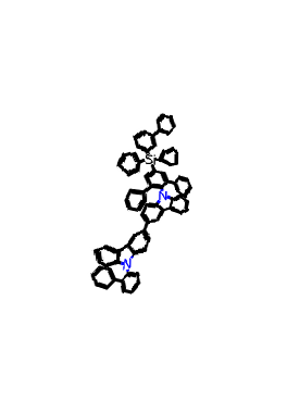 c1ccc(-c2cccc([Si](c3ccccc3)(c3ccccc3)c3cc(-c4ccccc4)c(-n4c5ccccc5c5cc(-c6ccc7c(c6)c6ccccc6n7-c6ccccc6-c6ccccc6)ccc54)c(-c4ccccc4)c3)c2)cc1